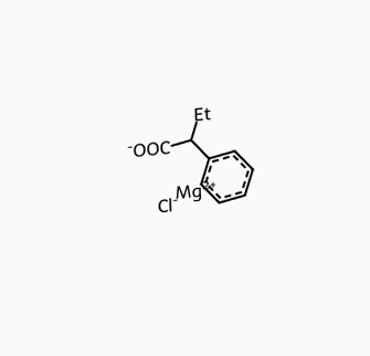 CCC(C(=O)[O-])c1ccccc1.[Cl-].[Mg+2]